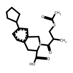 CC(=O)SCC(C)C(=O)N1Cc2cc(C3CCCC3)ccc2CC1C(=O)O